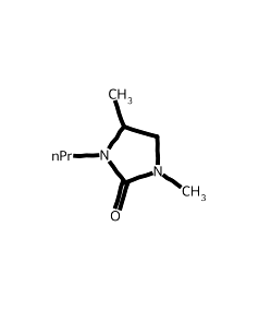 CCCN1C(=O)N(C)CC1C